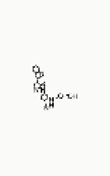 Cc1cn(-c2ccc(C#N)c(NCCOCCO)c2)c2nccc(-c3cnc4ccccc4c3)c12